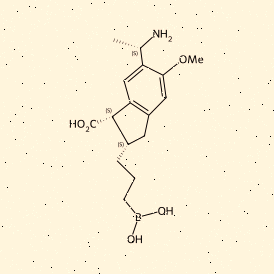 COc1cc2c(cc1[C@H](C)N)[C@@H](C(=O)O)[C@@H](CCCB(O)O)C2